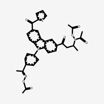 CC(=O)ON=C(C)c1ccc(-n2c3ccc(C(=O)CC(C)N(OC(C)=O)C(C)=O)cc3c3cc(C(=O)c4cccs4)ccc32)cc1